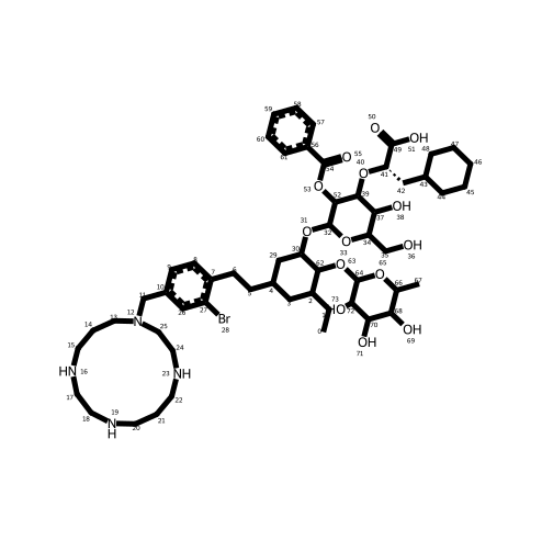 CCC1CC(CCc2ccc(CN3CCCNCCNCCCNCC3)cc2Br)CC(OC2OC(CO)C(O)C(O[C@@H](CC3CCCCC3)C(=O)O)C2OC(=O)c2ccccc2)C1OC1OC(C)C(O)C(O)C1O